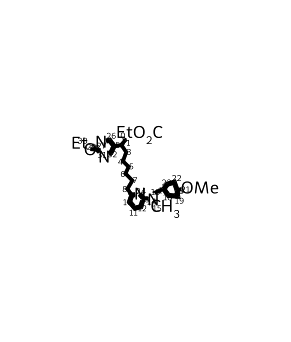 CCOC(=O)CC(CCCCCCc1cccc(N(C)Cc2ccc(OC)cc2)n1)c1cnc(OCC)nc1